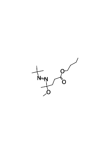 CCCCOC(=O)CCC(C)(N=NC(C)(C)C)OC